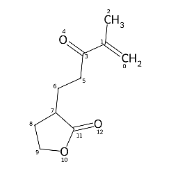 C=C(C)C(=O)CCC1CCOC1=O